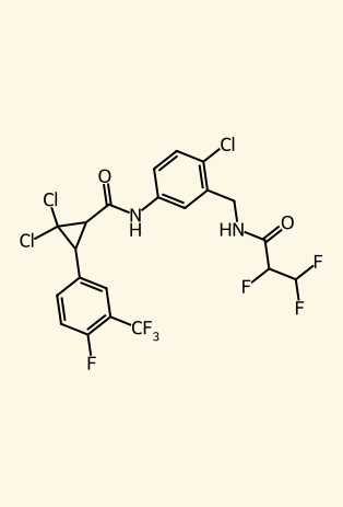 O=C(NCc1cc(NC(=O)C2C(c3ccc(F)c(C(F)(F)F)c3)C2(Cl)Cl)ccc1Cl)C(F)C(F)F